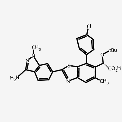 Cc1cc2nc(-c3ccc4c(N)nn(C)c4c3)sc2c(-c2ccc(Cl)cc2)c1[C@H](OC(C)(C)C)C(=O)O